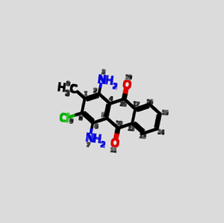 Cc1c(N)c2c(c(N)c1Cl)C(=O)c1ccccc1C2=O